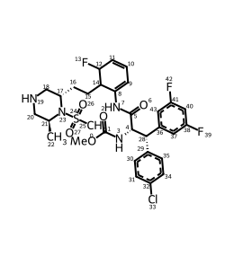 COC(=O)N[C@H](C(=O)NC1=CC=CC(F)C1CC[C@H]1CNC[C@H](C)N1S(C)(=O)=O)[C@@H](c1ccc(Cl)cc1)c1cc(F)cc(F)c1